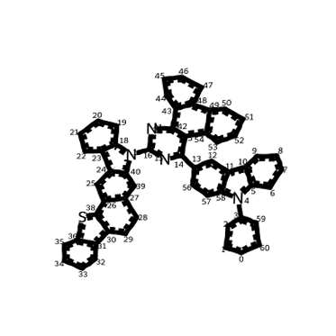 c1ccc(-n2c3ccccc3c3cc(-c4nc(-n5c6ccccc6c6cc7c(ccc8c9ccccc9sc78)cc65)nc5c6ccccc6c6ccccc6c45)ccc32)cc1